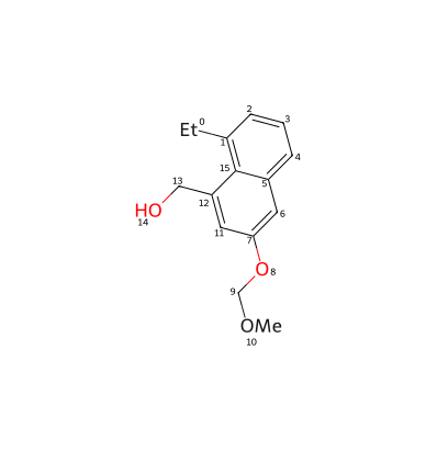 CCc1cccc2cc(OCOC)cc(CO)c12